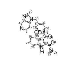 Cc1nc2cnccc2n1Cc1ccc(C(=O)c2c(C(=O)N(C)C)[nH]c3cccc(C(=O)O)c23)cc1